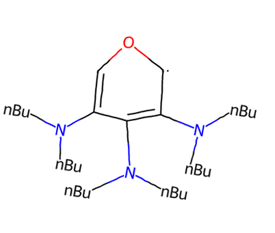 CCCCN(CCCC)C1=CO[CH]C(N(CCCC)CCCC)=C1N(CCCC)CCCC